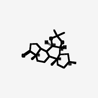 C[C@H]1CC[C@]2(C)C3CC[C@]4(C)C(=O)CCC4C3[C@H]3OC(C)(C)O[C@@H]3C2C1